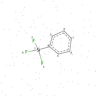 F[Si](F)(F)c1cc[c]cc1